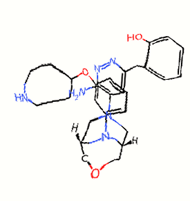 Nc1nnc(-c2ccccc2O)cc1N1C[C@H]2COC[C@@H](C1)N2c1cccc(OC2CCNCC2)c1